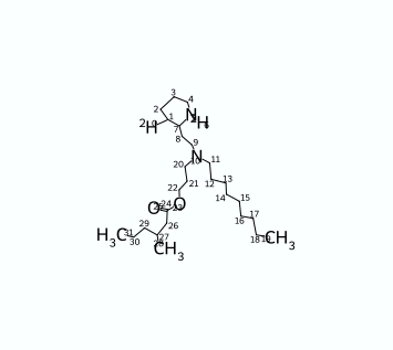 [2H]C1CCCN([2H])C1CCN(CCCCCCCCC)CCCOC(=O)CC(C)CCC